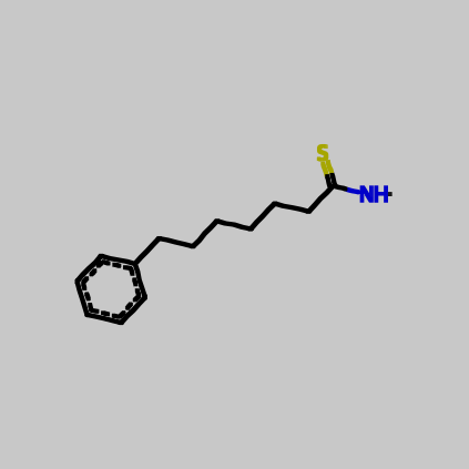 [NH]C(=S)CCCCCCc1ccccc1